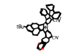 CC(C)(C)c1cc2c3c(c1)CCc1c-3c(c3c4c5c(c(C#N)cc4n4c6cc(C#N)c7c(c6c1c34)C1c3ccccc3C7c3ccccc31)C1(c3ccccc3-c3ccccc31)c1ccccc1-5)CC2